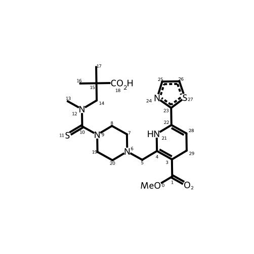 COC(=O)C1=C(CN2CCN(C(=S)N(C)CC(C)(C)C(=O)O)CC2)NC(c2nccs2)=CC1